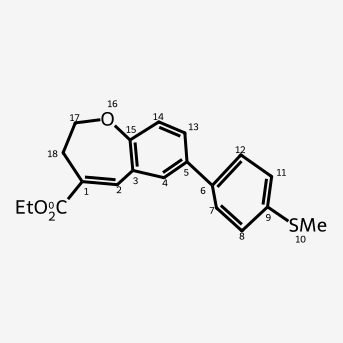 CCOC(=O)C1=Cc2cc(-c3ccc(SC)cc3)ccc2OCC1